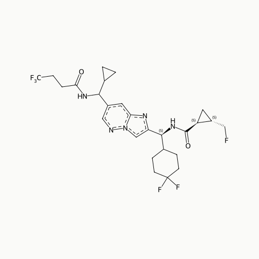 O=C(CCC(F)(F)F)NC(c1cnn2cc([C@@H](NC(=O)[C@H]3C[C@@H]3CF)C3CCC(F)(F)CC3)nc2c1)C1CC1